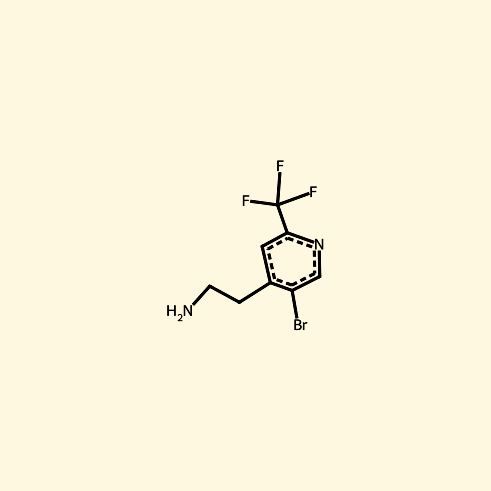 NCCc1cc(C(F)(F)F)ncc1Br